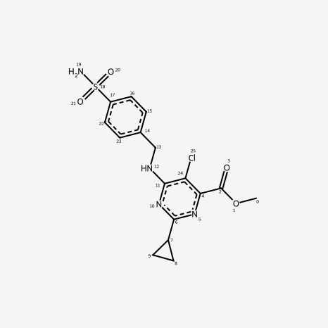 COC(=O)c1nc(C2CC2)nc(NCc2ccc(S(N)(=O)=O)cc2)c1Cl